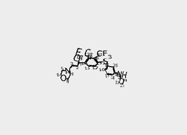 O=C(C=CN1CCOCC1)c1ccc(Sc2cccc(NC3CCC3)c2)c(C(F)(F)F)c1C(F)(F)F